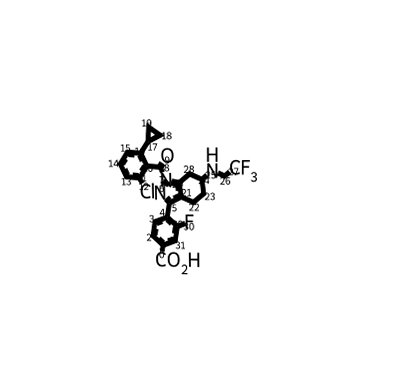 O=C(O)c1ccc(-c2nn(C(=O)c3c(Cl)cccc3C3CC3)c3c2CCC(NCC(F)(F)F)C3)c(F)c1